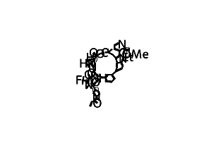 C=CC(=O)N1CC[C@H](C(=O)N(C)[C@H](C(=O)N[C@H]2Cc3cccc(c3)-c3ccc4c(c3)c(c(-c3cccnc3[C@H](C)OC)n4CC)CC(C)(C)COC(=O)[C@@H]3CCCN(N3)C2=O)C(C)(C)F)C1